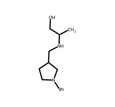 CC(CO)NCC1CCN(C(C)C)C1